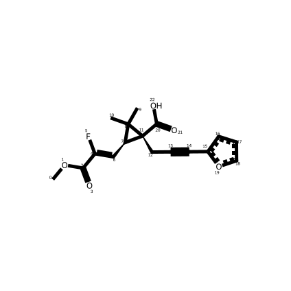 COC(=O)/C(F)=C/[C@H]1C(C)(C)[C@]1(CC#Cc1ccco1)C(=O)O